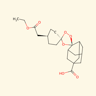 CCOC(=O)C[C@H]1CC[C@]2(CC1)OO[C@]1(O2)C2CC3CC1CC(C(=O)O)(C3)C2